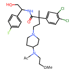 COCCN(C(C)=O)C1CCN(CCC(C)(C(=O)NC(CO)c2ccc(F)cc2)c2ccc(Cl)c(Cl)c2)CC1